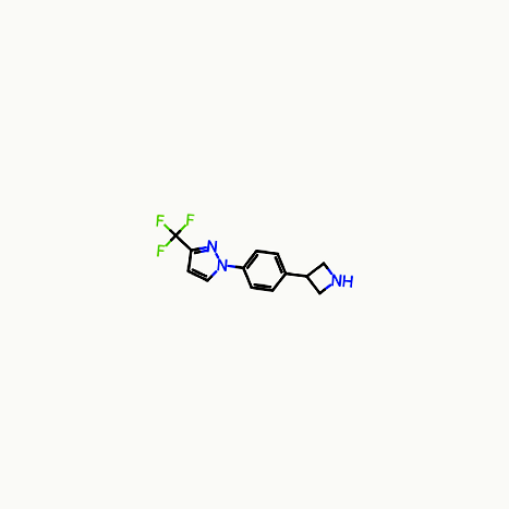 FC(F)(F)c1ccn(-c2ccc(C3CNC3)cc2)n1